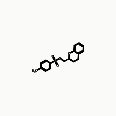 Cc1ccc(S(=O)(=O)OC[C@@H]2CCc3ccccc3O2)cc1